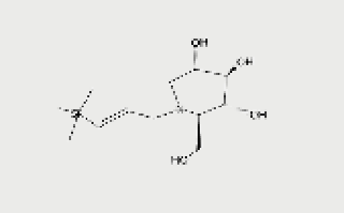 C[Si](C)(C)C=CCN1C[C@H](O)[C@@H](O)[C@H](O)[C@H]1CO